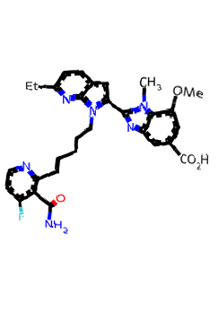 CCc1ccc2cc(-c3nc4cc(C(=O)O)cc(OC)c4n3C)n(CCCCCc3nccc(F)c3C(N)=O)c2n1